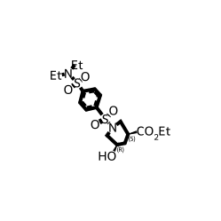 CCOC(=O)[C@H]1C[C@@H](O)CN(S(=O)(=O)c2ccc(S(=O)(=O)N(CC)CC)cc2)C1